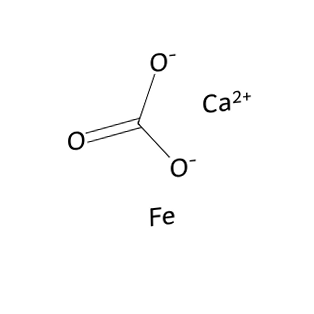 O=C([O-])[O-].[Ca+2].[Fe]